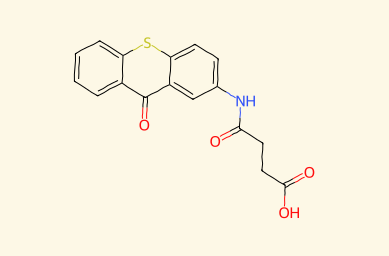 O=C(O)CCC(=O)Nc1ccc2sc3ccccc3c(=O)c2c1